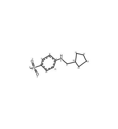 CS(=O)(=O)c1ccc(NCC2CCCC2)cc1